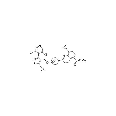 COC(=O)c1ccc(C2CC2)c2nc(C34CCC(OCc5c(-c6c(Cl)cncc6Cl)noc5C5CC5)(CC3)CC4)ccc12